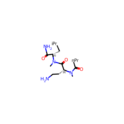 CCCC(=O)N(C)[C@H](CCN)C(=O)N(C)[C@@H](CC(C)C)C(N)=O